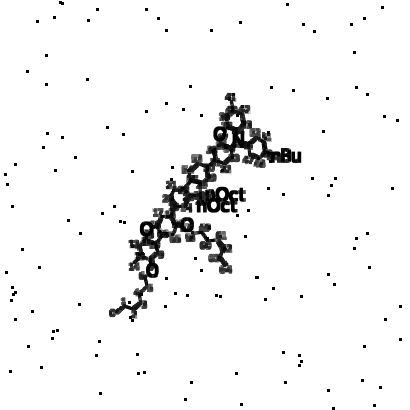 C=C/C=C\CCCOc1cc2c(cc1C)oc1cc(-c3ccc4c(c3)C(CCCCCCCC)(CCCCCCCC)c3cc(-c5ccc6c(c5)Oc5cc(C)ccc5N6c5ccc(CCCC)cc5)ccc3-4)c(OCCC/C=C\C=C)cc12